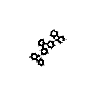 C1=CC(c2ccccc2-c2cccc(-n3c4ccccc4c4ccccc43)c2)CC(N2c3ccccc3C3CCC=CC32)=C1